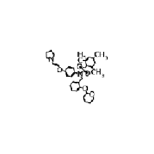 Cc1cc(C)c(S(=O)(=O)N(Cc2ccccc2OC2CCCCO2)c2ccc(OCCN3CCCC3)cc2)c(C)c1